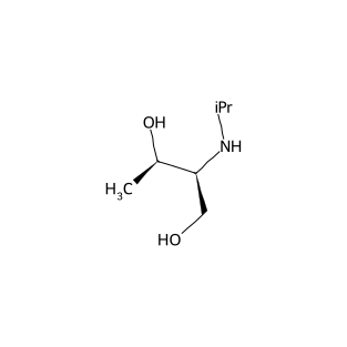 CC(C)N[C@@H](CO)[C@@H](C)O